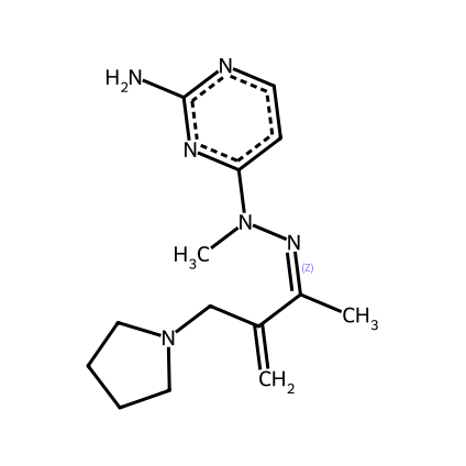 C=C(CN1CCCC1)/C(C)=N\N(C)c1ccnc(N)n1